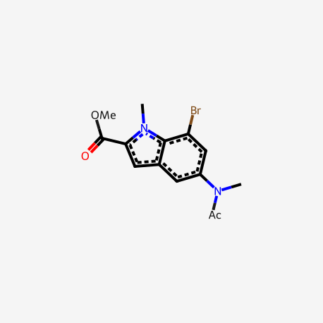 COC(=O)c1cc2cc(N(C)C(C)=O)cc(Br)c2n1C